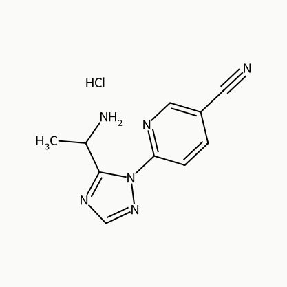 CC(N)c1ncnn1-c1ccc(C#N)cn1.Cl